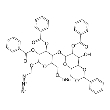 CCCCOCC1OC(OCN=[N+]=[N-])C(OC(=O)c2ccccc2)C(OC(=O)c2ccccc2)C1OC1OC2COC(c3ccccc3)OC2C(O)C1OC(=O)c1ccccc1